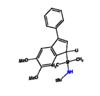 [Li][C]1([Si](C)(C)NC(C)(C)C)C=C(c2ccccc2)c2cc(OC)c(OC)cc21